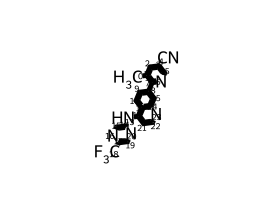 Cc1cc(C#N)cnc1-c1ccc2c(Nc3cnc(C(F)(F)F)cn3)ccnc2c1